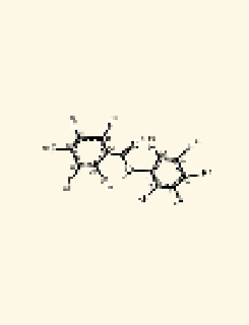 O=C(Oc1c(F)c(F)c(F)c(F)c1F)c1c(F)c(F)c(F)c(F)c1F